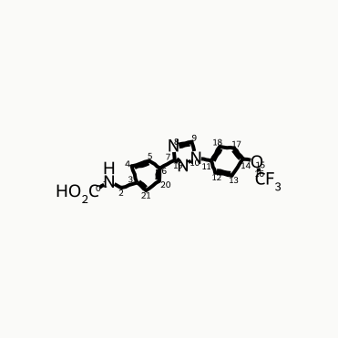 O=C(O)NCc1ccc(-c2ncn(-c3ccc(OC(F)(F)F)cc3)n2)cc1